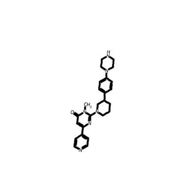 Cn1c(N2CCCC(c3ccc(N4CCNCC4)cc3)C2)nc(-c2ccncc2)cc1=O